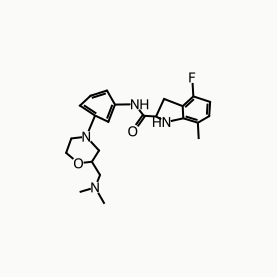 Cc1ccc(F)c2c1NC(C(=O)Nc1cccc(N3CCOC(CN(C)C)C3)c1)C2